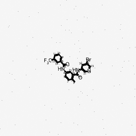 Cc1ccc(NC(=O)c2cccc(C(F)(F)F)c2)cc1C(=O)Nc1cncc(Br)c1